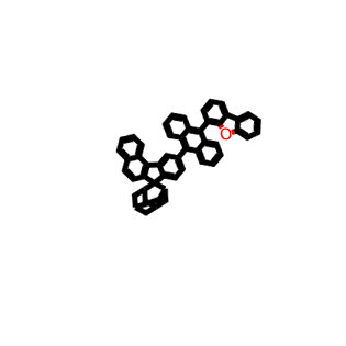 c1ccc2c3c(ccc2c1)C1(c2ccc(-c4c5ccccc5c(-c5cccc6c5oc5ccccc56)c5ccccc45)cc2-3)C2CC3CC(C2)CC1C3